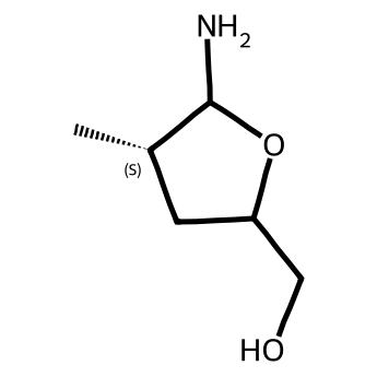 C[C@H]1CC(CO)OC1N